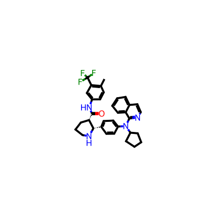 Cc1ccc(NC(=O)[C@H]2CCCN[C@H]2c2ccc(N(c3nccc4ccccc34)C3CCCC3)cc2)cc1C(F)(F)F